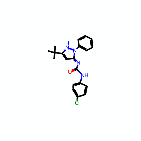 CC(C)(C)c1cc(=NC(=O)Nc2ccc(Cl)cc2)n(-c2ccccc2)[nH]1